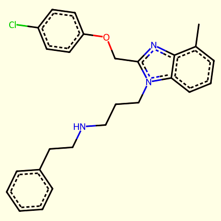 Cc1cccc2c1nc(COc1ccc(Cl)cc1)n2CCCNCCc1ccccc1